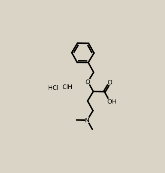 CN(C)CCC(OCc1ccccc1)C(=O)O.Cl.Cl